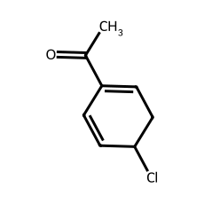 CC(=O)C1=CCC(Cl)C=C1